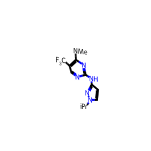 CNc1nc(Nc2ccn(C(C)C)n2)ncc1C(F)(F)F